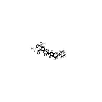 CC(=O)N1C[C@H](OC(=O)N2Cc3ccc(N4CCOCC4)nc3C2)C[C@H]1C(=O)O